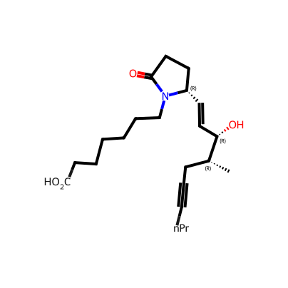 CCCC#CC[C@@H](C)[C@@H](O)C=C[C@H]1CCC(=O)N1CCCCCCC(=O)O